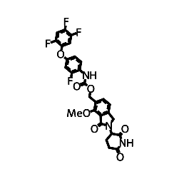 COc1c(COC(=O)Nc2ccc(Oc3cc(F)c(F)cc3F)cc2F)ccc2c1C(=O)N(C1CCC(=O)NC1=O)C2